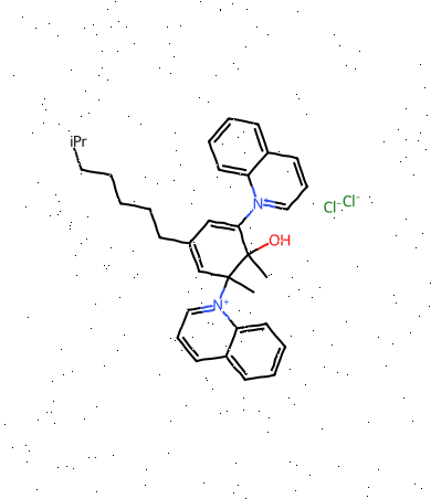 CC(C)CCCCCC1=CC(C)([n+]2cccc3ccccc32)C(C)(O)C([n+]2cccc3ccccc32)=C1.[Cl-].[Cl-]